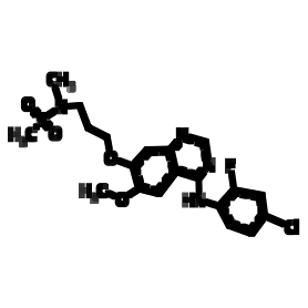 COc1cc2c(Nc3ccc(Cl)cc3F)ncnc2cc1OCCCN(C)S(C)(=O)=O